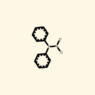 [Cl][Ni]([Cl])[P](c1ccccc1)c1ccccc1